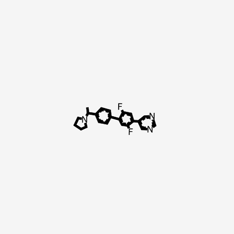 CC(c1ccc(-c2cc(F)c(-c3cncnc3)cc2F)cc1)N1CCCC1